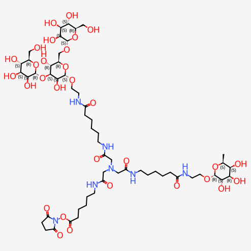 C[C@@H]1O[C@@H](OCCNC(=O)CCCCCNC(=O)CN(CC(=O)NCCCCCC(=O)NCCO[C@H]2O[C@H](CO[C@H]3O[C@H](CO)[C@@H](O)[C@H](O)[C@@H]3O)[C@@H](O)[C@H](O[C@H]3O[C@H](CO)[C@@H](O)[C@H](O)[C@@H]3O)[C@@H]2O)CC(=O)NCCCCCC(=O)ON2C(=O)CCC2=O)[C@@H](O)[C@H](O)[C@@H]1O